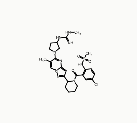 CNC(=N)NC1CCN(c2nc3cc(C4CCCCN4C(=O)c4cc(Cl)ccc4NS(C)(=O)=O)nn3cc2C)C1